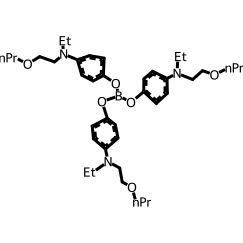 CCCOCCN(CC)c1ccc(OB(Oc2ccc(N(CC)CCOCCC)cc2)Oc2ccc(N(CC)CCOCCC)cc2)cc1